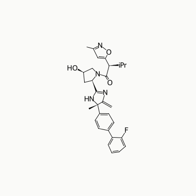 C=C1N=C([C@H]2C[C@@H](O)CN2C(=O)[C@@H](c2cc(C)no2)C(C)C)N[C@@]1(C)c1ccc(-c2ccccc2F)cc1